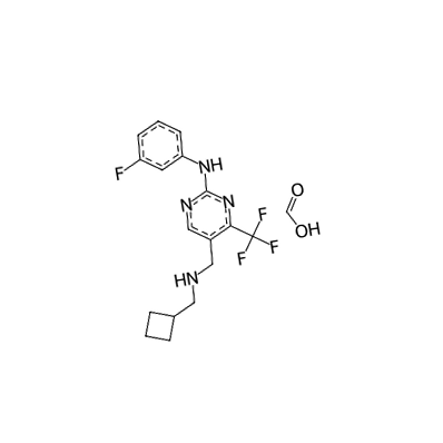 Fc1cccc(Nc2ncc(CNCC3CCC3)c(C(F)(F)F)n2)c1.O=CO